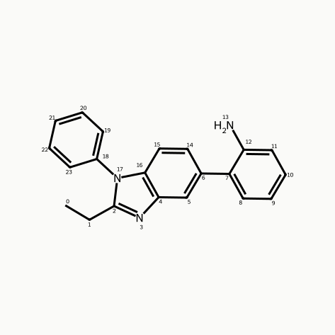 CCc1nc2cc(-c3ccccc3N)ccc2n1-c1ccccc1